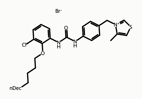 CCCCCCCCCCCCCCOc1c(Cl)cccc1NC(=O)Nc1ccc(C[n+]2cscc2C)cc1.[Br-]